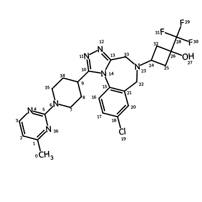 Cc1ccnc(N2CCC(c3nnc4n3-c3ccc(Cl)cc3CN(C3CC(O)(C(F)(F)F)C3)C4)CC2)n1